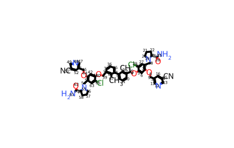 Cc1c(COc2cc(OCc3cncc(C#N)c3)c(CN3CCC[C@@H]3C(N)=O)cc2Cl)cccc1-c1cccc(COc2cc(OCc3cncc(C#N)c3)c(CN3CCC[C@@H]3C(N)=O)cc2Cl)c1C